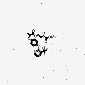 COC(=O)NCCOC(=O)C(C)Oc1ccc(Oc2ncccc2C(F)(F)Cl)cc1